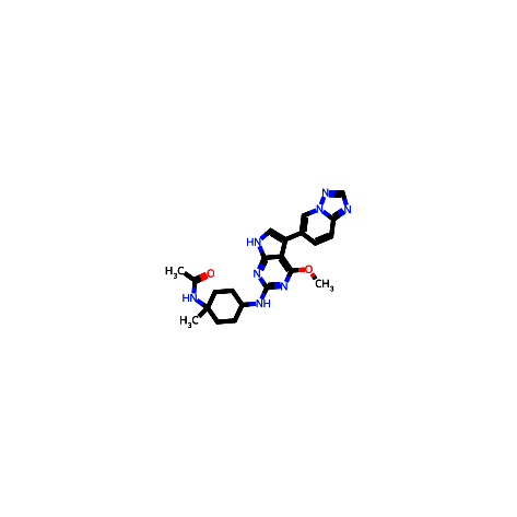 COc1nc(NC2CCC(C)(NC(C)=O)CC2)nc2[nH]cc(-c3ccc4ncnn4c3)c12